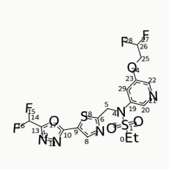 CCS(=O)(=O)N(Cc1ncc(-c2nnc(C(F)F)o2)s1)c1cncc(OCC(F)F)c1